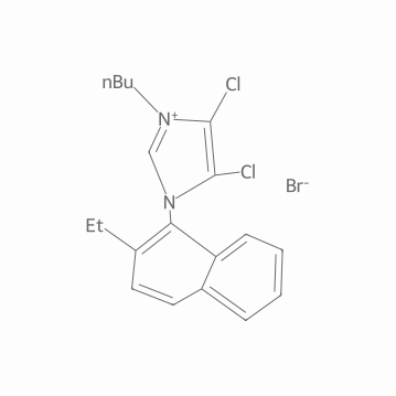 CCCC[n+]1cn(-c2c(CC)ccc3ccccc23)c(Cl)c1Cl.[Br-]